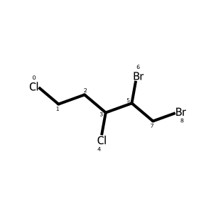 ClCCC(Cl)C(Br)CBr